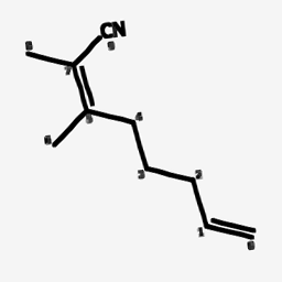 C=CCCCC(C)=C(C)C#N